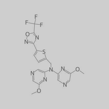 COc1cncc(N(Cc2ccc(-c3noc(C(F)(F)F)n3)s2)c2cncc(OC)n2)n1